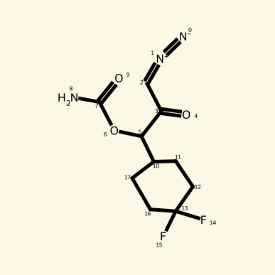 [N-]=[N+]=CC(=O)C(OC(N)=O)C1CCC(F)(F)CC1